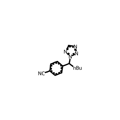 CCCCC(c1ccc(C#N)cc1)n1ncnn1